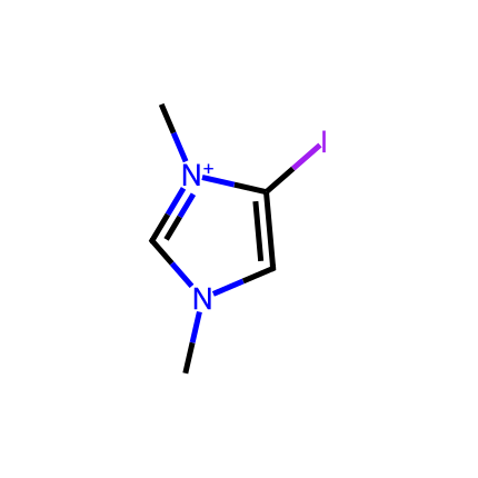 Cn1cc(I)[n+](C)c1